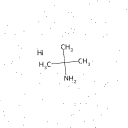 CC(C)(C)N.I